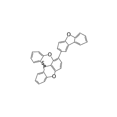 S=P12c3ccccc3Oc3ccc(-c4ccc5oc6ccccc6c5c4)c(c31)Oc1ccccc12